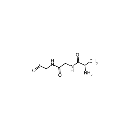 CC(N)C(=O)NCC(=O)NC[C]=O